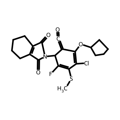 CSC1=C(F)C(N2C(=O)C3=C(CCCC3)C2=O)C(=C=O)C(OC2CCCC2)=C1Cl